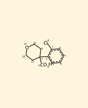 O=C(O)C1(c2ccccc2Cl)CCOCC1